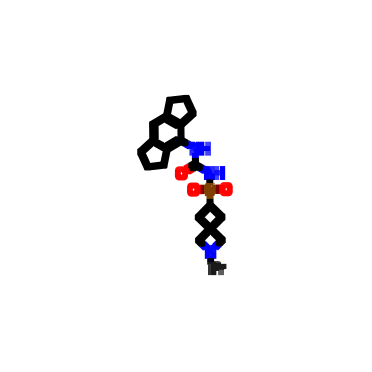 CC(C)N1CC2(CC(S(=O)(=O)NC(=O)Nc3c4c(cc5c3CCC5)CCC4)C2)C1